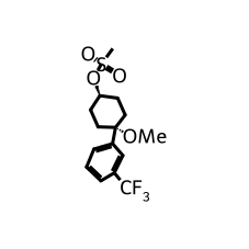 CO[C@]1(c2cccc(C(F)(F)F)c2)CC[C@@H](OS(C)(=O)=O)CC1